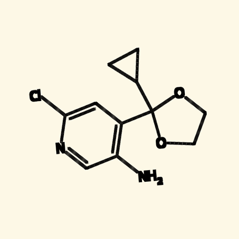 Nc1cnc(Cl)cc1C1(C2CC2)OCCO1